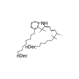 [CH2]C(C=CC=C1Nc2cccc(CCCCCCCCCCCCCCCCCC)c2C1(C)C)C(C)(C)CCCCCCCCCCCCCCC